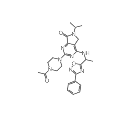 CC(=O)N1CCN(c2nc(NC(C)c3nc(-c4ccccc4)no3)c3c(n2)C(=O)N(C(C)C)C3)CC1